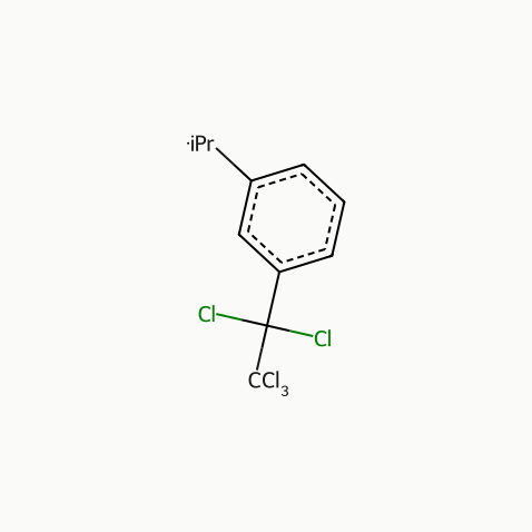 C[C](C)c1cccc(C(Cl)(Cl)C(Cl)(Cl)Cl)c1